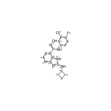 O/N=C(\Nc1ccc(F)c(Cl)c1)c1ccnc2nc(NC3CCC3)[nH]c12